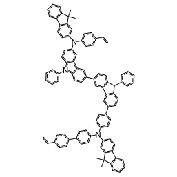 C=Cc1ccc(-c2ccc(N(c3ccc(-c4ccc5c(c4)-c4cc(-c6ccc7c(c6)c6cc(N(c8ccc(C=C)cc8)c8ccc9c(c8)C(C)(C)c8ccccc8-9)ccc6n7-c6ccccc6)ccc4C5c4ccccc4)cc3)c3ccc4c(c3)C(C)(C)c3ccccc3-4)cc2)cc1